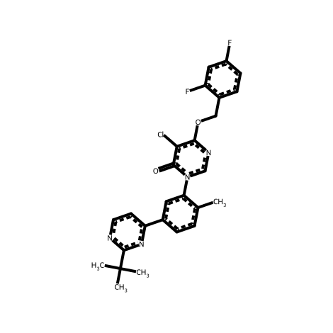 Cc1ccc(-c2ccnc(C(C)(C)C)n2)cc1-n1cnc(OCc2ccc(F)cc2F)c(Cl)c1=O